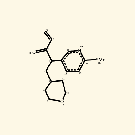 C=CC(=O)C(CC1CCOCC1)c1ccc(SC)nc1